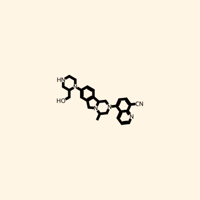 CC1CN(c2ccc(C#N)c3ncccc23)CC2c3ccc(N4CCNCC4CO)cc3CN12